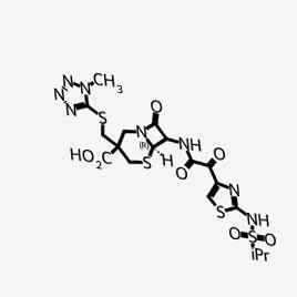 CC(C)S(=O)(=O)Nc1nc(C(=O)C(=O)NC2C(=O)N3CC(CSc4nnnn4C)(C(=O)O)CS[C@H]23)cs1